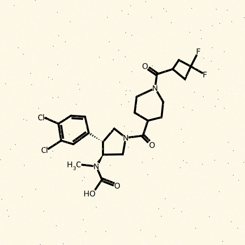 CN(C(=O)O)[C@@H]1CN(C(=O)C2CCN(C(=O)C3CC(F)(F)C3)CC2)C[C@H]1c1ccc(Cl)c(Cl)c1